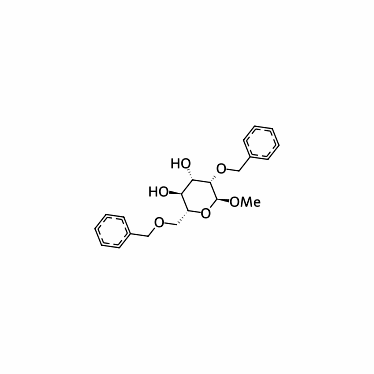 CO[C@H]1O[C@H](COCc2ccccc2)[C@@H](O)[C@H](O)[C@@H]1OCc1ccccc1